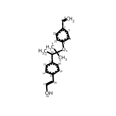 C=Cc1ccc(OC(C)(C)C(C)c2ccc(C=CO)cc2)cc1